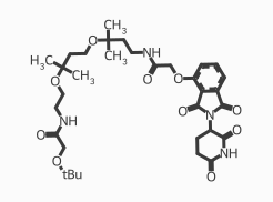 CC(C)(C)OCC(=O)NCCOC(C)(C)CCOC(C)(C)CCNC(=O)COc1cccc2c1C(=O)N(C1CCC(=O)NC1=O)C2=O